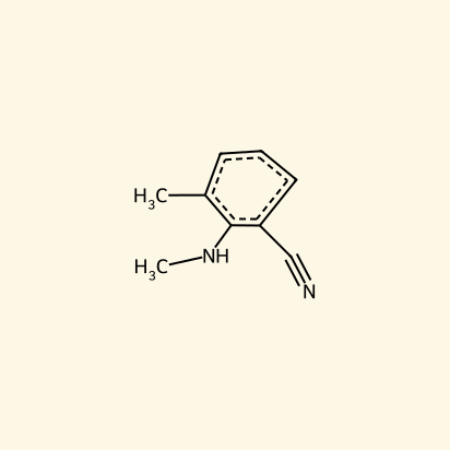 CNc1c(C)cccc1C#N